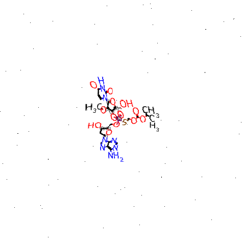 CO[C@H]1[C@@H](O[P@](=O)(OC[C@H]2O[C@@H](n3cnc4c(N)ncnc43)C[C@H]2O)SCOC(=O)OC(C)C)[C@@H](CO)O[C@H]1n1ccc(=O)[nH]c1=O